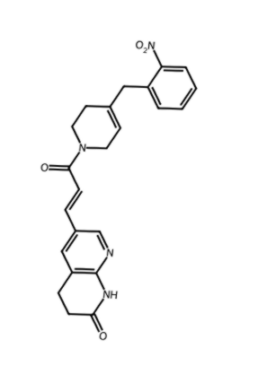 O=C1CCc2cc(C=CC(=O)N3CC=C(Cc4ccccc4[N+](=O)[O-])CC3)cnc2N1